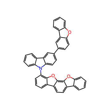 c1ccc2c(c1)oc1ccc(-c3ccc4c(c3)c3ccccc3n4-c3cccc4c3oc3c4ccc4c5ccccc5oc43)cc12